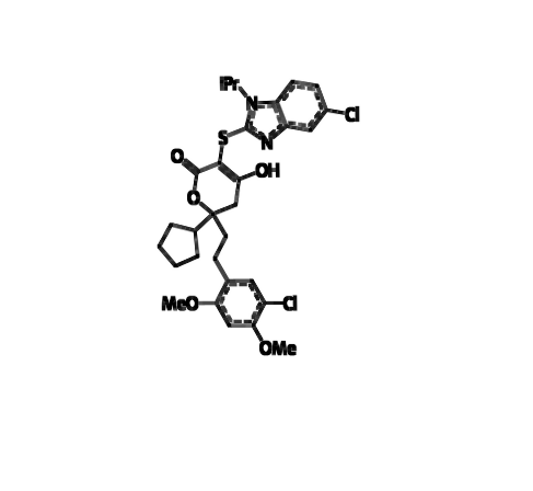 COc1cc(OC)c(CCC2(C3CCCC3)CC(O)=C(Sc3nc4cc(Cl)ccc4n3C(C)C)C(=O)O2)cc1Cl